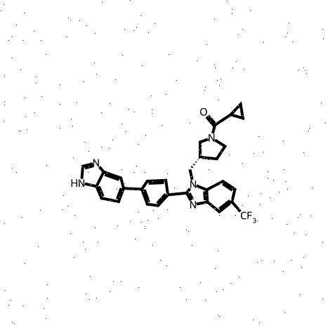 O=C(C1CC1)N1CC[C@H](Cn2c(-c3ccc(-c4ccc5[nH]cnc5c4)cc3)nc3cc(C(F)(F)F)ccc32)C1